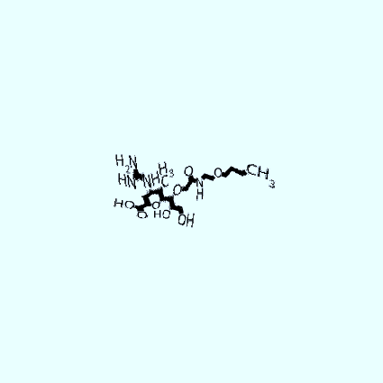 CCCCOCCNC(=O)CO[C@@H]([C@@H]1OC(C(=O)O)=C[C@H](NC(=N)N)[C@H]1C)[C@H](O)CO